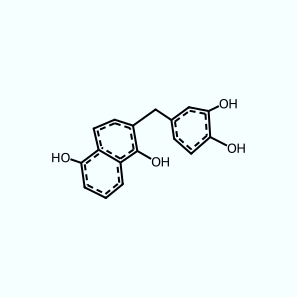 Oc1ccc(Cc2ccc3c(O)cccc3c2O)cc1O